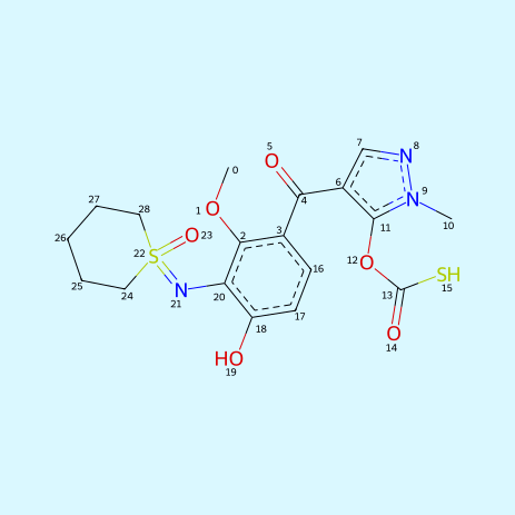 COc1c(C(=O)c2cnn(C)c2OC(=O)S)ccc(O)c1N=S1(=O)CCCCC1